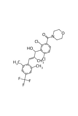 C/C(=C\c1c(C)cc(C(F)(F)F)cc1C)C(O)c1c(Cl)ccc(C(=O)N2CCOCC2)c1Cl